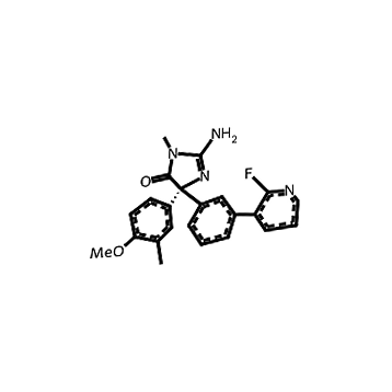 COc1ccc([C@@]2(c3cccc(-c4cccnc4F)c3)N=C(N)N(C)C2=O)cc1C